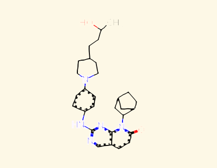 CC(O)CCC1CCN(c2ccc(Nc3ncc4ccc(=O)n(C5CC6CCC5C6)c4n3)cc2)CC1